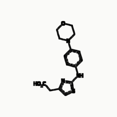 O=C(O)Cc1csc(Nc2ccc(N3CCOCC3)cc2)n1